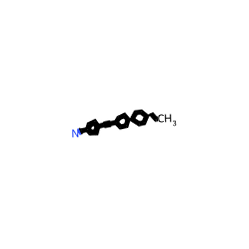 CCC[C@H]1CC[C@H](C2CCC(C#Cc3ccc(C#N)cc3)CC2)CC1